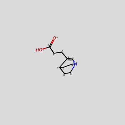 O=C(O)CCC1=CN2CCC1CC2